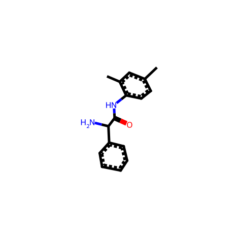 Cc1ccc(NC(=O)C(N)c2ccccc2)c(C)c1